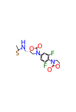 CC(=S)NC[C@H]1CN(c2cc(F)c(N3CCOC3=O)c(F)c2)C(=O)O1